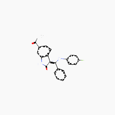 COC(=O)c1ccc2c(c1)NC(=O)/C2=C(/Nc1ccc(F)cc1)c1ccccc1